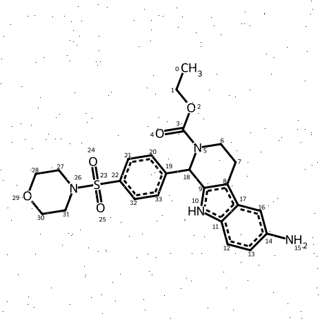 CCOC(=O)N1CCc2c([nH]c3ccc(N)cc23)C1c1ccc(S(=O)(=O)N2CCOCC2)cc1